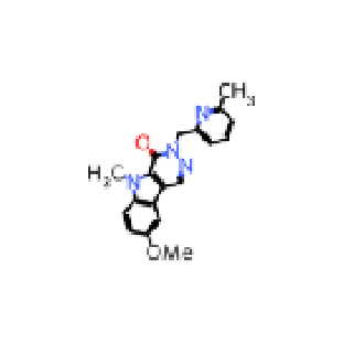 COc1ccc2c(c1)c1cnn(Cc3cccc(C)n3)c(=O)c1n2C